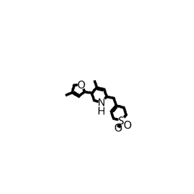 CC1=CC(C2CNC(CC3=CCS(=O)(=O)CC3)C=C2C)OC1